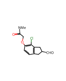 CNC(=O)COc1ccc2c(c1Cl)CC(C=O)C2